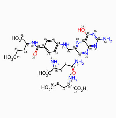 NC(=O)CC[C@H](N)C(=O)O.N[C@@H](CCC(=O)O)C(=O)O.Nc1nc(O)c2nc(CNc3ccc(C(=O)NC(CCC(=O)O)C(=O)O)cc3)cnc2n1